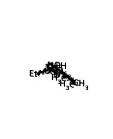 CC/C=C/CCOc1cccc2c(O)c(OC/C=C(\C)CCC=C(C)C)c(=O)oc12